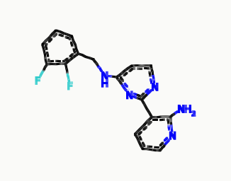 Nc1ncccc1-c1nccc(NCc2cccc(F)c2F)n1